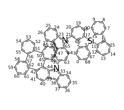 c1ccc([Si](c2ccccc2)(c2ccccc2)c2cccc(-n3c4ccccc4c4cc(-n5c6ccccc6c6ccc7c(c65)-c5ccccc5-c5ccccc5-c5ccccc5-7)ccc43)c2)cc1